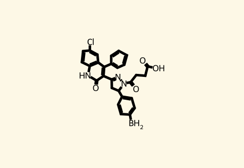 Bc1ccc(C2CC(c3c(-c4ccccc4)c4cc(Cl)ccc4[nH]c3=O)=NN2C(=O)CCC(=O)O)cc1